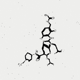 CC(C)(C)C(=O)NCc1ccc(Cl)c(Nc2nc3cc(C(=O)N[C@H]4CC[C@H](C(F)(F)F)CC4)c(OCC(F)F)nc3n2CC(F)F)c1Cl